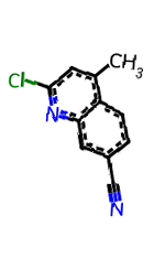 Cc1cc(Cl)nc2cc(C#N)ccc12